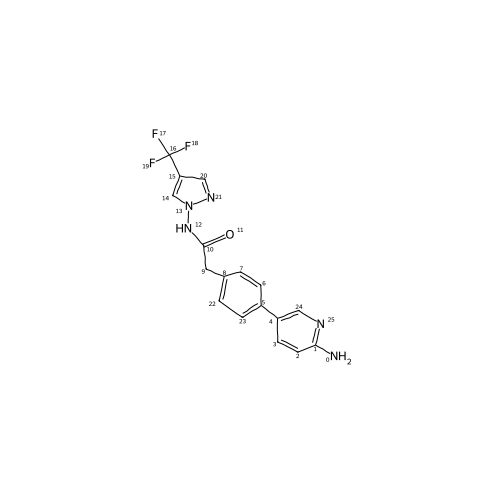 Nc1ccc(-c2ccc(CC(=O)Nn3cc(C(F)(F)F)cn3)cc2)cn1